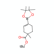 CC(C)(C)OC(=O)C1(C)CC=C(B2OC(C)(C)C(C)(C)O2)CC1